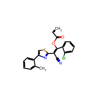 C=CC(=O)OC(=C(C#N)c1nc(-c2ccccc2C)cs1)c1ccccc1Br